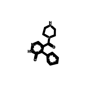 O=C(c1cn[nH]c(=O)c1-c1ccccc1)N1CCNCC1